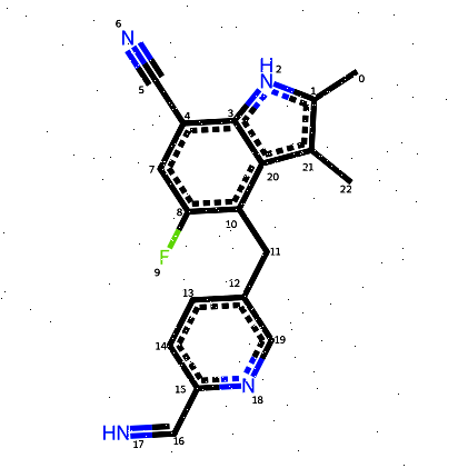 Cc1[nH]c2c(C#N)cc(F)c(Cc3ccc(C=N)nc3)c2c1C